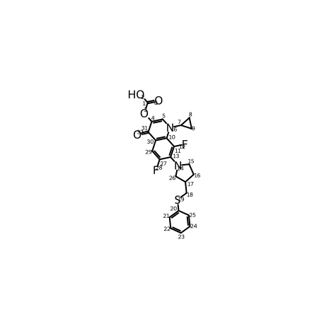 O=C(O)Oc1cn(C2CC2)c2c(F)c(N3CCC(CSc4ccccc4)C3)c(F)cc2c1=O